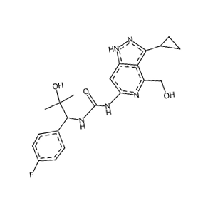 CC(C)(O)C(NC(=O)Nc1cc2[nH]nc(C3CC3)c2c(CO)n1)c1ccc(F)cc1